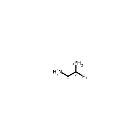 NCC(F)P